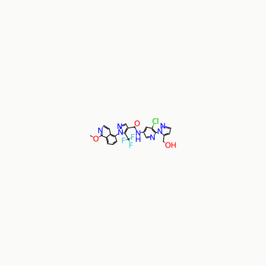 COc1nccc2c(-n3ncc(C(=O)Nc4cnc(-n5nccc5CO)c(Cl)c4)c3C(F)(F)F)cccc12